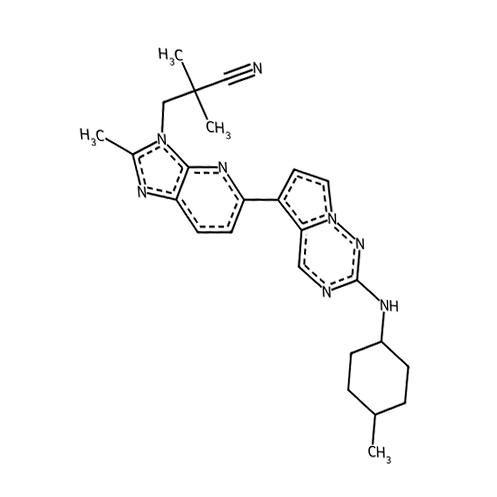 Cc1nc2ccc(-c3ccn4nc(NC5CCC(C)CC5)ncc34)nc2n1CC(C)(C)C#N